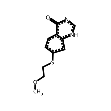 COCCSc1ccc2c(=O)nc[nH]c2c1